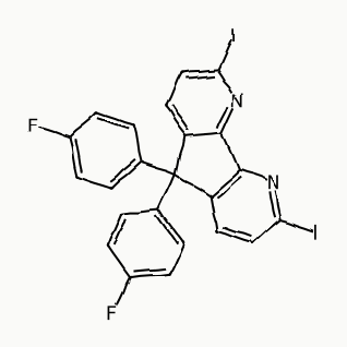 Fc1ccc(C2(c3ccc(F)cc3)c3ccc(I)nc3-c3nc(I)ccc32)cc1